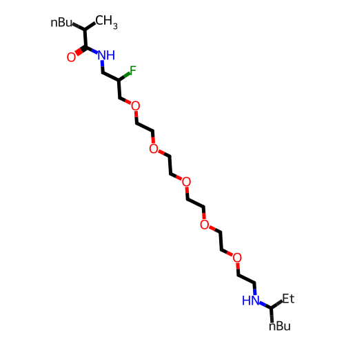 CCCCC(CC)NCCOCCOCCOCCOCCOCC(F)CNC(=O)C(C)CCCC